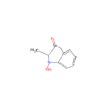 CC1N(O)c2ccccc2[Se]1=O